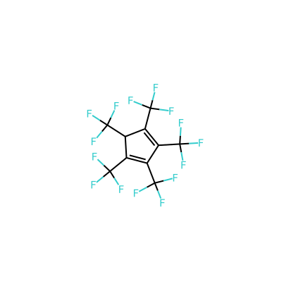 FC(F)(F)C1=C(C(F)(F)F)C(C(F)(F)F)C(C(F)(F)F)=C1C(F)(F)F